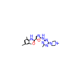 Cc1cc(C)c(NC(=O)c2cnc(Nc3nc(C)nc(N4CCN(C)CC4)n3)o2)c(C)c1